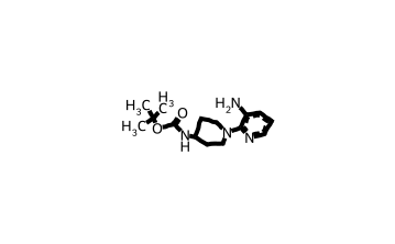 CC(C)(C)OC(=O)NC1CCN(c2ncccc2N)CC1